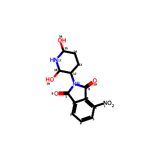 O=C1c2cccc([N+](=O)[O-])c2C(=O)N1C1CCC(O)NC1O